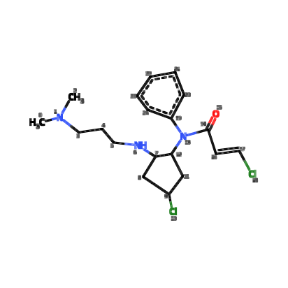 CN(C)CCCNC1CC(Cl)CC1N(C(=O)C=CCl)c1ccccc1